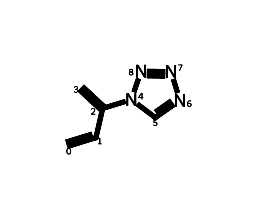 C=CC(=C)n1cnnn1